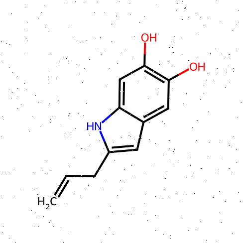 C=CCc1cc2cc(O)c(O)cc2[nH]1